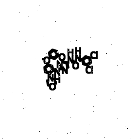 COc1cccc(Oc2nc(Nc3ccccc3N3CCOCC3)ncc2NC(=O)Nc2cc(Cl)cc(Cl)c2)c1